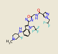 CN1CC[C@@H](Nc2cccc3c2cc(-c2noc(CNC(=O)c4cnn(CC(F)F)c4)n2)n3CC(F)(F)F)[C@@H](F)C1